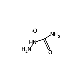 NNC(N)=O.[O]